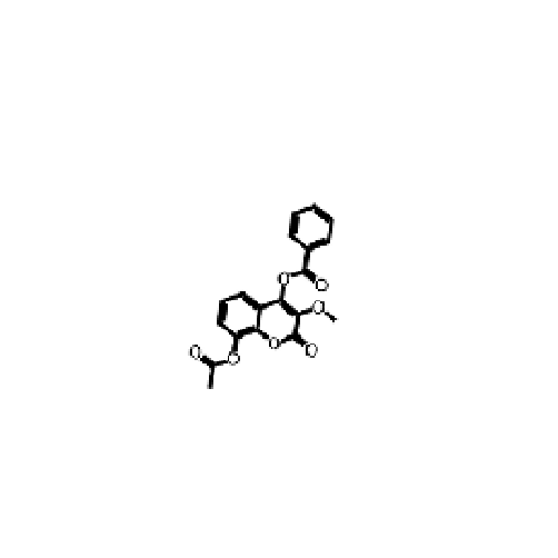 COc1c(OC(=O)c2ccccc2)c2cccc(OC(C)=O)c2oc1=O